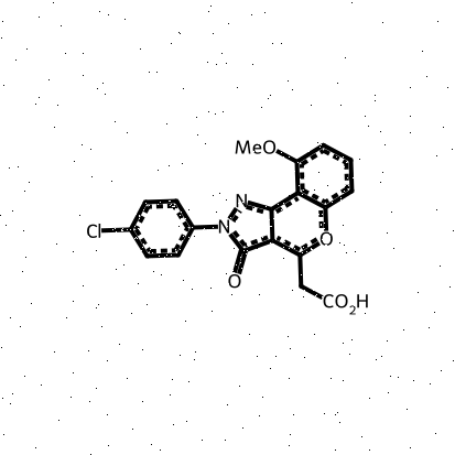 COc1cccc2oc(CC(=O)O)c3c(=O)n(-c4ccc(Cl)cc4)nc-3c12